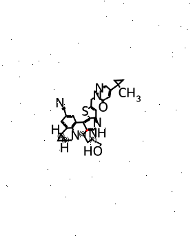 CC1(c2cnn(Cc3cc4nccc(-c5cc(C#N)cc6c5N([C@@H]5CN[C@@H](CO)C5)C[C@@H]5C[C@H]65)c4s3)c(=O)c2)CC1